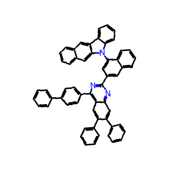 c1ccc(-c2ccc(-c3nc(-c4cc(-n5c6ccccc6c6cc7ccccc7cc65)c5ccccc5c4)nc4cc(-c5ccccc5)c(-c5ccccc5)cc34)cc2)cc1